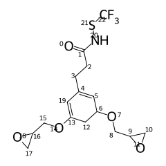 O=C(CCC1=CC(OCC2CO2)CC(OCC2CO2)=C1)NSC(F)(F)F